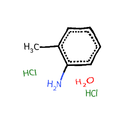 Cc1ccccc1N.Cl.Cl.O